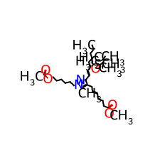 CCCCCC(C=Cc1nn(CCCCCCOC(C)=O)c(C)c1CC=CCCCC(=O)OC)O[Si](C)(C)C(C)(C)C